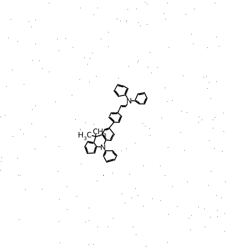 CC1(C)c2ccccc2N(c2ccccc2)c2ccc(-c3ccc(/C=C/N(c4ccccc4)c4ccccc4)cc3)cc21